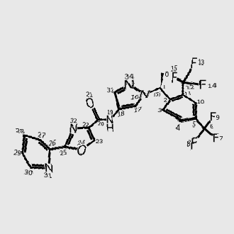 C[C@@H](c1ccc(C(F)(F)F)cc1C(F)(F)F)n1cc(NC(=O)c2coc(-c3ccccn3)n2)cn1